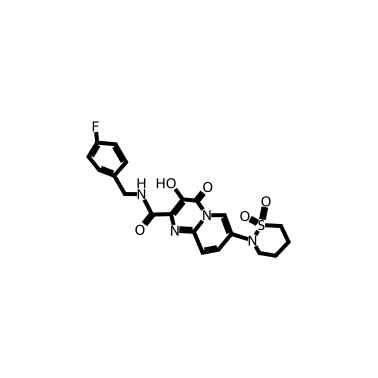 O=C(NCc1ccc(F)cc1)c1nc2ccc(N3CCCCS3(=O)=O)cn2c(=O)c1O